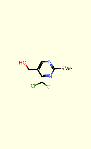 CSc1ncc(CO)cn1.ClCCl